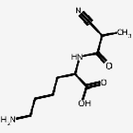 CC(C#N)C(=O)NC(CCCCN)C(=O)O